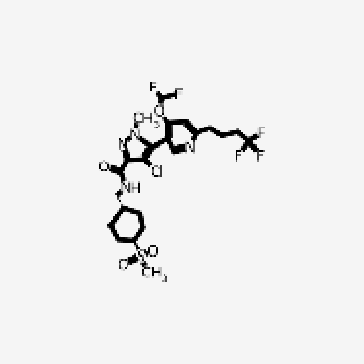 Cn1nc(C(=O)NC[C@H]2CC[C@H](S(C)(=O)=O)CC2)c(Cl)c1-c1cnc(CCCC(F)(F)F)cc1OC(F)F